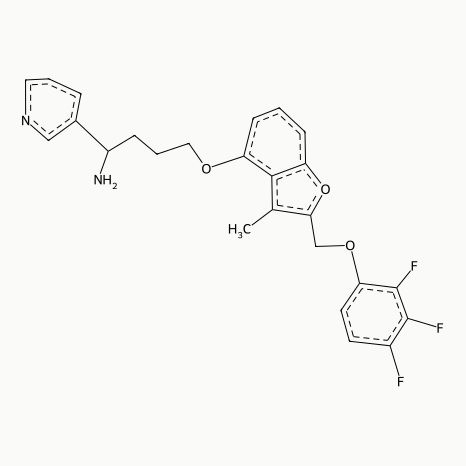 Cc1c(COc2ccc(F)c(F)c2F)oc2cccc(OCCCC(N)c3cccnc3)c12